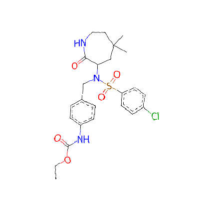 CCOC(=O)Nc1ccc(CN(C2CC(C)(C)CCNC2=O)S(=O)(=O)c2ccc(Cl)cc2)cc1